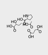 CC(=O)O.CCC(O)C(=O)O.O=C(O)CCC(=O)O.O=C(O)[C@@H]1CCCN1